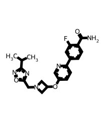 CC(C)c1noc(CN2CC(Oc3ccc(-c4ccc(C(N)=O)c(F)c4)nc3)C2)n1